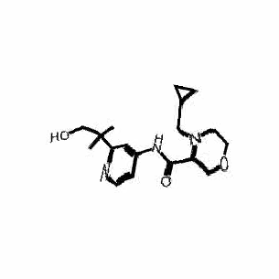 CC(C)(CO)c1cc(NC(=O)C2COCCN2CC2CC2)ccn1